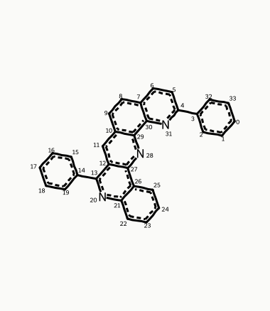 c1ccc(-c2ccc3ccc4cc5c(-c6ccccc6)nc6ccccc6c5nc4c3n2)cc1